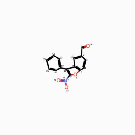 O=Cc1ccc2oc([N+](=O)[O-])c(-c3ccccc3)c2c1